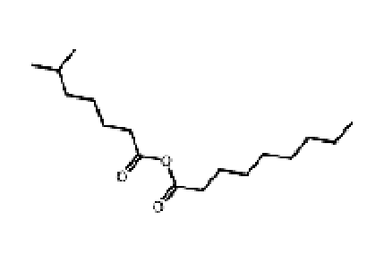 CCCCCCCCC(=O)OC(=O)CCCCC(C)C